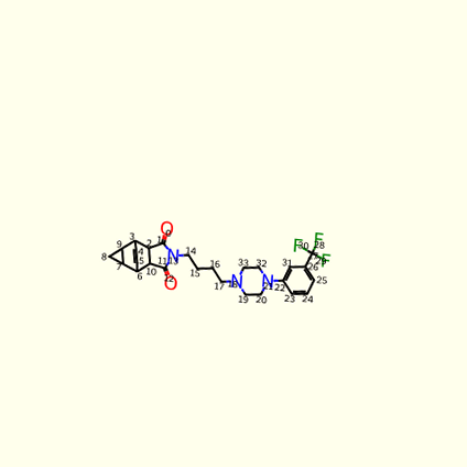 O=C1C2C3C=CC(C4CC34)C2C(=O)N1CCCCN1CCN(c2cccc(C(F)(F)F)c2)CC1